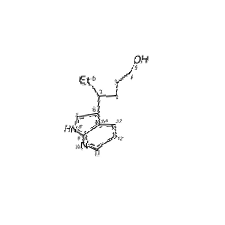 CCC(CCCO)c1c[nH]c2ncccc12